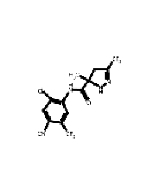 [C-]#[N+]c1cc(Cl)c(NC(=O)C2(C)CC(C(F)(F)F)=NN2)cc1C(F)(F)F